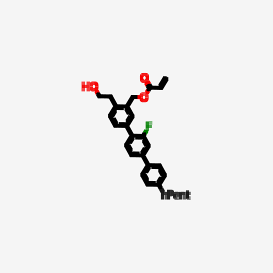 C=CC(=O)OCc1cc(-c2ccc(-c3ccc(CCCCC)cc3)cc2F)ccc1CCO